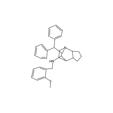 CSc1ccccc1CNC1C2CCN(C3CCCC23)C1C(c1ccccc1)c1ccccc1